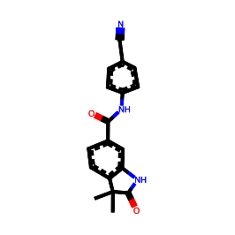 CC1(C)C(=O)Nc2cc(C(=O)Nc3ccc(C#N)cc3)ccc21